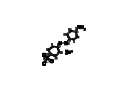 Nc1ccc(N=Nc2ccc(S(=O)(=O)[O-])cc2)cc1.[Na+]